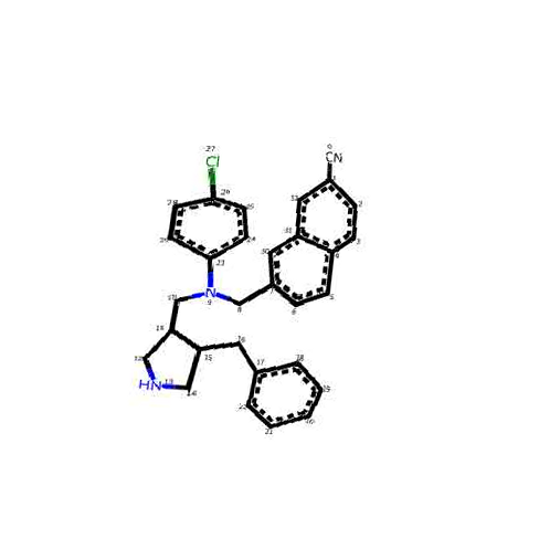 N#Cc1ccc2ccc(CN(CC3CNCC3Cc3ccccc3)c3ccc(Cl)cc3)cc2c1